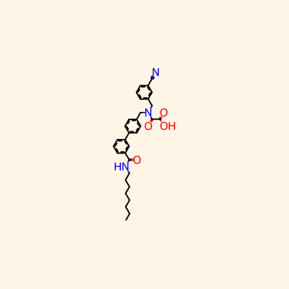 CCCCCCCCNC(=O)c1cccc(-c2ccc(CN(Cc3cccc(C#N)c3)C(=O)C(=O)O)cc2)c1